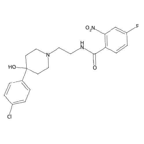 O=C(NCCN1CCC(O)(c2ccc(Cl)cc2)CC1)c1ccc(F)cc1[N+](=O)[O-]